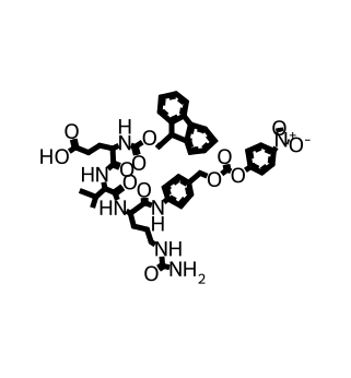 CC(C)C(NC(=O)C(CCC(=O)O)NC(=O)OCC1c2ccccc2-c2ccccc21)C(=O)NC(CCCNC(N)=O)C(=O)Nc1ccc(COC(=O)Oc2ccc([N+](=O)[O-])cc2)cc1